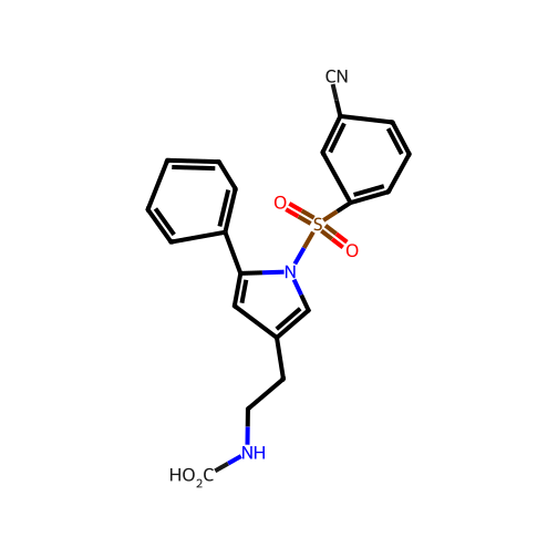 N#Cc1cccc(S(=O)(=O)n2cc(CCNC(=O)O)cc2-c2ccccc2)c1